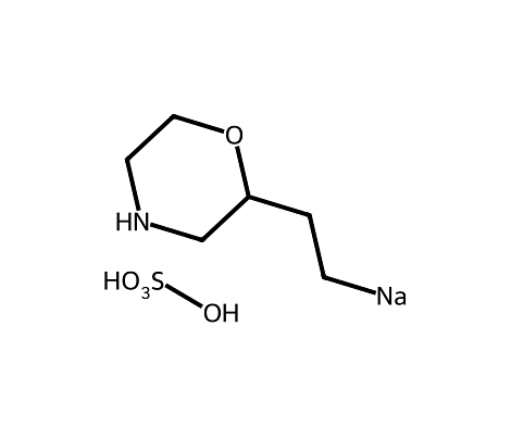 O=S(=O)(O)O.[Na][CH2]CC1CNCCO1